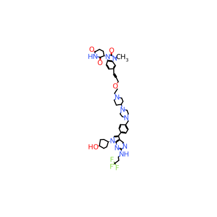 Cn1c(=O)n([C@H]2CCC(=O)NC2=O)c2ccc(C#CCOCCN3CCC(N4CCN(Cc5ccc(-c6cn([C@H]7CC[C@H](O)CC7)c7nc(NCCC(F)(F)F)ncc67)cc5)CC4)CC3)cc21